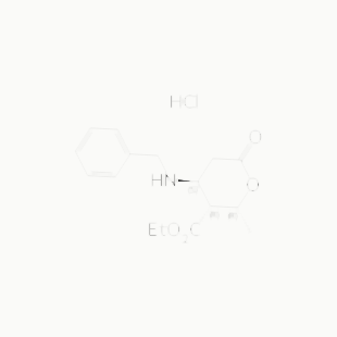 CCOC(=O)[C@@H]1[C@@H](NCc2ccccc2)CC(=O)O[C@@H]1C.Cl